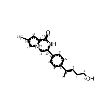 C/C(=C\CCO)c1ccc(-c2cn3cc(F)cc3c(=O)[nH]2)cc1